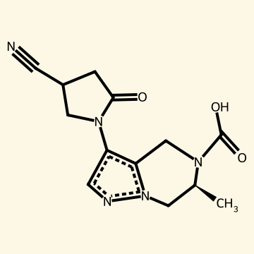 C[C@H]1Cn2ncc(N3CC(C#N)CC3=O)c2CN1C(=O)O